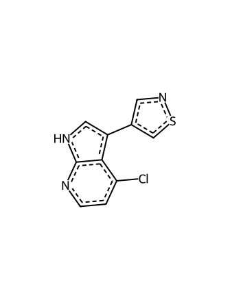 Clc1ccnc2[nH]cc(-c3cnsc3)c12